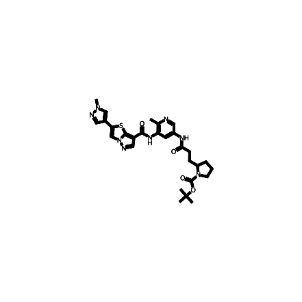 Cc1ncc(NC(=O)CCC2CCCN2C(=O)OC(C)(C)C)cc1NC(=O)c1cnn2cc(-c3cnn(C)c3)sc12